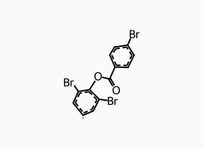 O=C(Oc1c(Br)c[c]cc1Br)c1ccc(Br)cc1